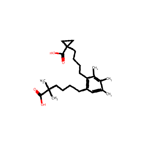 Cc1cc(CCCCC(C)(C)C(=O)O)c(CCCCC2(C(=O)O)CC2)c(C)c1C